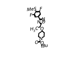 CSc1c(F)cc(-c2noc(C(C)OC3CCN(C(=O)OC(C)(C)C)CC3)n2)cc1F